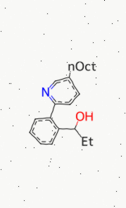 CCCCCCCCc1ccc(-c2ccccc2C(O)CC)nc1